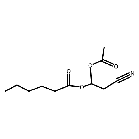 CCCCCC(=O)OC(CC#N)OC(C)=O